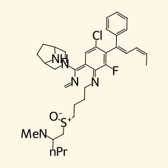 C=N/C(=C1/C=C(Cl)C(C(=C/C=C\C)/c2ccccc2)=C(F)/C1=N/CCCC[S+]([O-])CC(CCC)NC)N1CC2CCC(C1)N2